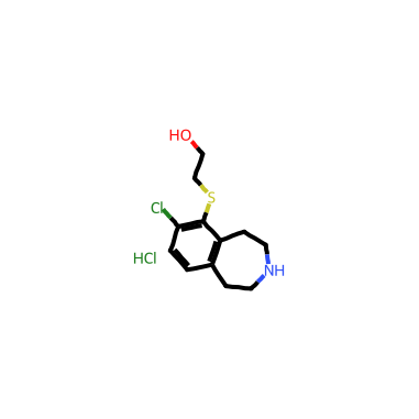 Cl.OCCSc1c(Cl)ccc2c1CCNCC2